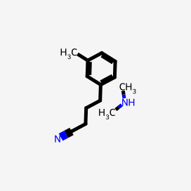 CNC.Cc1cccc(CCCC#N)c1